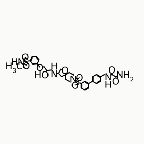 CNS(=O)(=O)c1cccc(OC[C@@H](O)CNC2COC3(CCN(S(=O)(=O)c4cccc(-c5ccc(CNC(=O)C(N)=O)cc5)c4)CC3)C2)c1